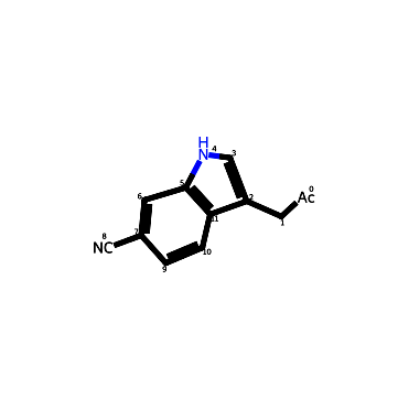 CC(=O)Cc1c[nH]c2cc(C#N)ccc12